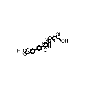 CS(=O)(=O)Cc1ccc(-c2ccc(-c3nc4nc(O[C@H]5CO[C@H](CCO)[C@@H](O)C5)[nH]c4cc3Cl)cc2)cc1